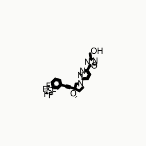 COC1(C#Cc2cccc(S(F)(F)(F)(F)F)c2)CCN(c2ccc(-c3nc(CO)no3)nn2)C1